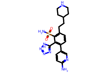 Nc1ccc(-c2ccc(CCC3CCNCC3)c(S(N)(=O)=O)c2-c2nnn[nH]2)cn1